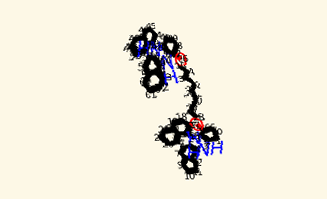 c1cc(Nc2cccc3ccccc23)c(Nc2cccc3ccccc23)c(OCCCCCCCCOc2cccc(Nc3cccc4ccccc34)c2Nc2cccc3ccccc23)c1